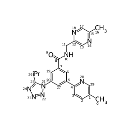 Cc1ccc(-c2cc(C(=O)NCc3cnc(C)cn3)cc(-n3nnnc3C(C)C)c2)nc1